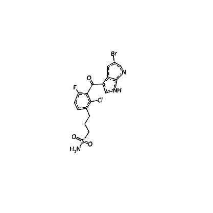 NS(=O)(=O)CCCc1ccc(F)c(C(=O)c2c[nH]c3ncc(Br)cc23)c1Cl